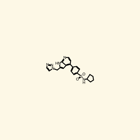 O=S(=O)(NC1CCCC1)c1ccc(-c2ccnc3[nH]c(Cn4ccnn4)cc23)cc1